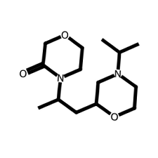 CC(C)N1CCOC(CC(C)N2CCOCC2=O)C1